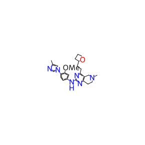 COc1cc(Nc2nc(CCC3CCCO3)c3c(n2)CCN(C)C3)ccc1-n1cnc(C)c1